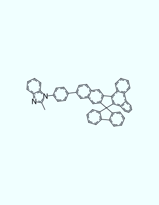 Cc1nc2ccccc2n1-c1ccc(-c2ccc3cc4c(cc3c2)C2(c3ccccc3-c3ccccc32)c2c-4c3ccccc3c3ccccc23)cc1